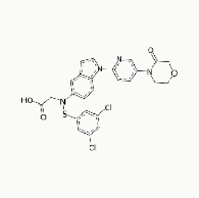 O=C(O)CN(Sc1cc(Cl)cc(Cl)c1)c1ccc2c(ccn2-c2ccc(N3CCOCC3=O)cn2)c1